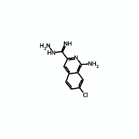 N=C(NN)c1cc2ccc(Cl)cc2c(N)n1